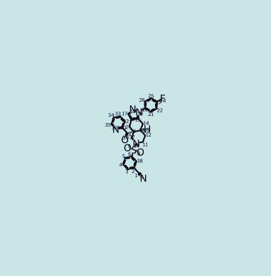 N#Cc1cccc(S(=O)(=O)N2CC[C@H]3Cc4c(cnn4-c4ccc(F)cc4)C[C@]3(C(=O)c3ccccn3)C2)c1